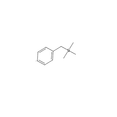 C[Si](C)(C)Cc1cc[c]cc1